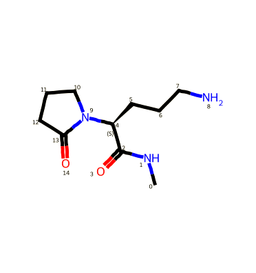 CNC(=O)[C@H](CCCN)N1CCCC1=O